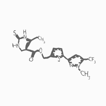 CC1=C(C(=O)OCc2ccc(-c3cc(C(F)(F)F)n(C)n3)s2)CNC(=S)N1